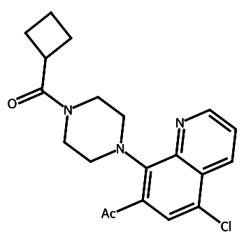 CC(=O)c1cc(Cl)c2cccnc2c1N1CCN(C(=O)C2CCC2)CC1